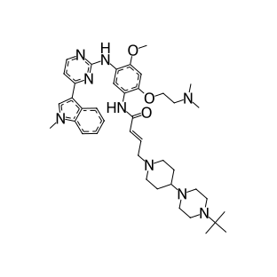 COc1cc(OCCN(C)C)c(NC(=O)/C=C/CN2CCC(N3CCN(C(C)(C)C)CC3)CC2)cc1Nc1nccc(-c2cn(C)c3ccccc23)n1